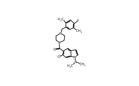 Cc1cc(CN2CCN(C(=O)c3cc4ccn(N(C)C)c4cc3Cl)CC2)c(C)cc1F